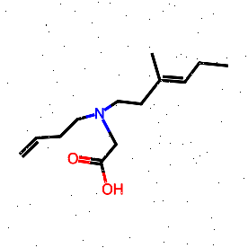 C=CCCN(CC/C(C)=C/CC)CC(=O)O